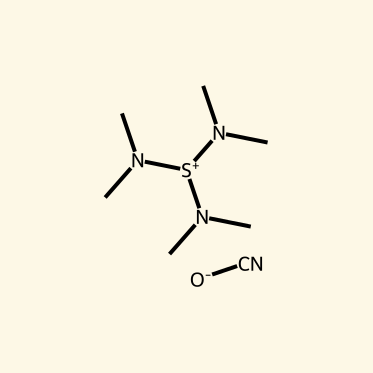 CN(C)[S+](N(C)C)N(C)C.N#C[O-]